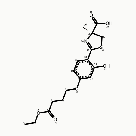 CCOC(=O)CCCOc1ccc(C2=N[C@@](C)(C(=O)O)CS2)c(O)c1